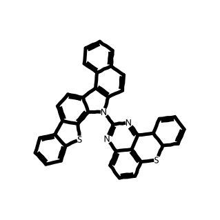 C1=CC2Sc3cccc4nc(-n5c6ccc7ccccc7c6c6ccc7c8ccccc8sc7c65)nc(c34)C2C=C1